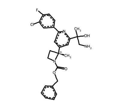 CC(O)(CN)c1cc([C@@]2(C)CCN2C(=O)OCc2ccccc2)cc(-c2ccc(F)c(Cl)c2)n1